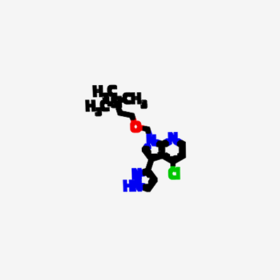 C[Si](C)(C)CCOCn1cc(-c2cc[nH]n2)c2c(Cl)ccnc21